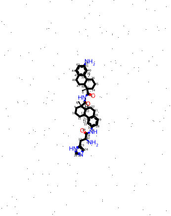 C[C@]1(C(=O)NC(=O)[C@@]2(C)CCC[C@]3(C)c4cc(NC(=O)[C@@H](N)Cc5cnc[nH]5)ccc4CC[C@@H]23)CCC[C@]2(C)c3cc(N)ccc3CCC12